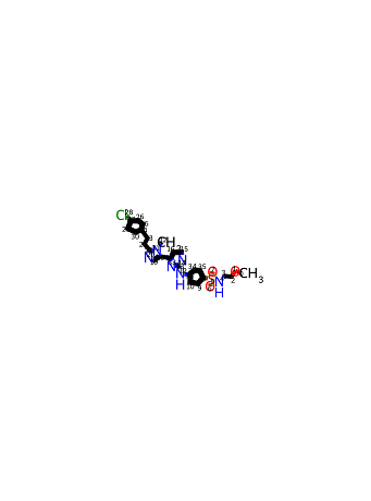 COCCNS(=O)(=O)c1ccc(Nc2nccc(-c3cnc(CCc4ccc(Cl)cc4)n3C)n2)cc1